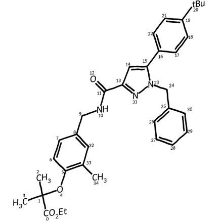 CCOC(=O)C(C)(C)Oc1ccc(CNC(=O)c2cc(-c3ccc(C(C)(C)C)cc3)n(Cc3ccccc3)n2)cc1C